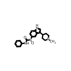 CN1CCC(c2c[nH]c3ccc(N(Cl)C(=O)Nc4ccccc4)cc23)CC1